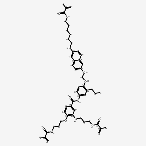 C=C(C)C(=O)OCCCCCCOc1ccc2cc(OCOc3ccc(OC(=O)c4ccc(OCCCOC(=O)C(=C)C)c(OCCCOC(=O)C(=C)C)c4)cc3CCC)ccc2c1